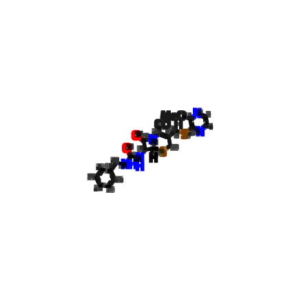 COc1nccnc1SCC1=C(C(=O)O)N2C(=O)C(NC(=O)NCc3ccccc3)[C@@H]2SC1